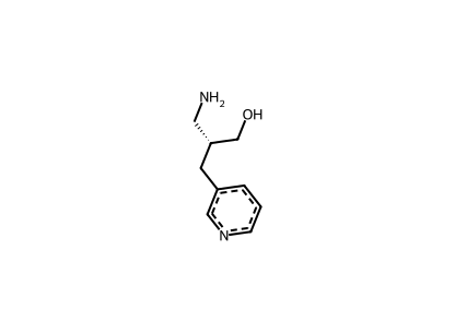 NC[C@H](CO)Cc1cccnc1